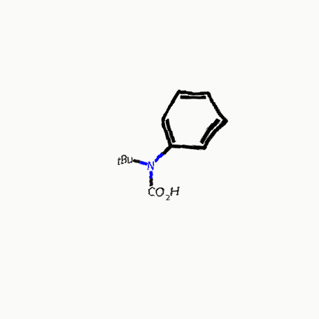 CC(C)(C)N(C(=O)O)c1ccccc1